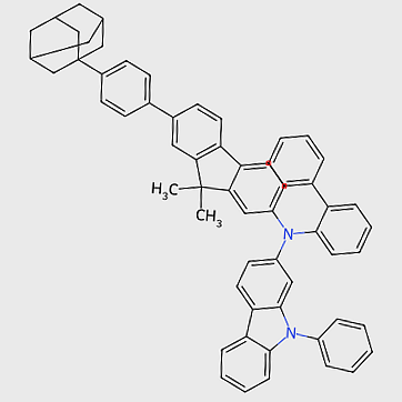 CC1(C)c2cc(-c3ccc(C45CC6CC(CC(C6)C4)C5)cc3)ccc2-c2ccc(N(c3ccc4c5ccccc5n(-c5ccccc5)c4c3)c3ccccc3-c3ccccc3)cc21